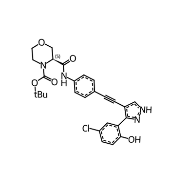 CC(C)(C)OC(=O)N1CCOC[C@H]1C(=O)Nc1ccc(C#Cc2c[nH]nc2-c2cc(Cl)ccc2O)cc1